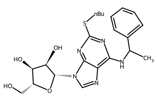 CCCCSc1nc(NC(C)c2ccccc2)c2ncn([C@@H]3O[C@H](CO)[C@@H](O)[C@H]3O)c2n1